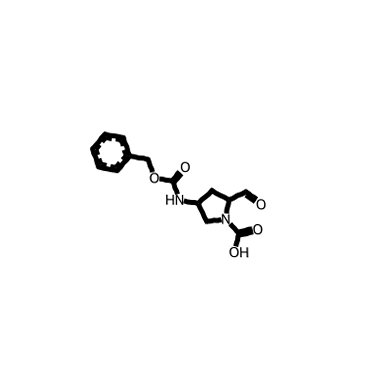 O=CC1CC(NC(=O)OCc2ccccc2)CN1C(=O)O